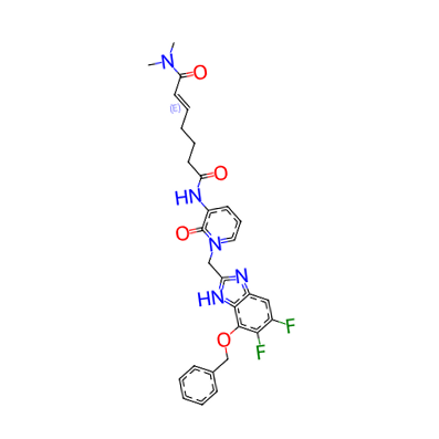 CN(C)C(=O)/C=C/CCCC(=O)Nc1cccn(Cc2nc3cc(F)c(F)c(OCc4ccccc4)c3[nH]2)c1=O